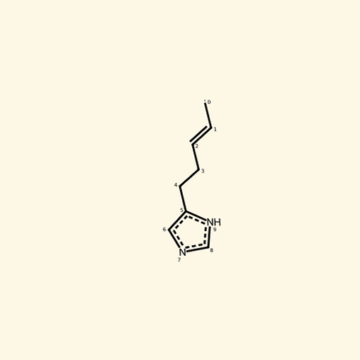 [CH2]C=CCCc1cnc[nH]1